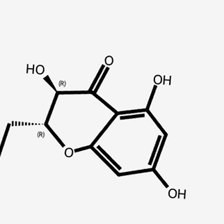 CC[C@H]1Oc2cc(O)cc(O)c2C(=O)[C@@H]1O